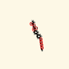 C=COCOCOCOC1CCC(C2CCC(OC(=O)COC(=O)C=C)CC2)CC1